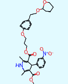 COC(=O)C1=C(C)NC(C)=C(C(=O)OCCCOc2ccc(CCOC3CCCCO3)cc2)C1c1cccc([N+](=O)[O-])c1